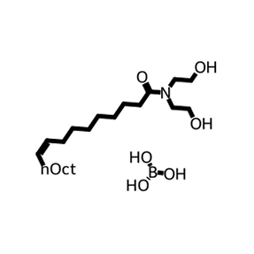 CCCCCCCC/C=C\CCCCCCCC(=O)N(CCO)CCO.OB(O)O